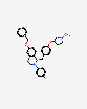 CN1CCC(Oc2ccc(CC3c4ccc(OCc5ccccc5)cc4CCN3c3ccc(F)cc3)cc2)C1